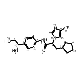 O=C(Nc1cnc([C@H](O)CO)cn1)C(CC1CCCC1)n1cnc(C(F)(F)F)c1